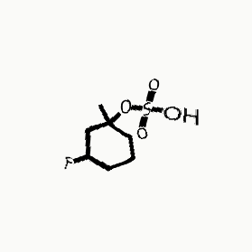 CC1(OS(=O)(=O)O)CCCC(F)C1